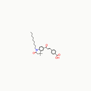 CCCCCCCCCN1C(=O)CC(C)(C)c2cc(C(=O)C=Cc3ccc(C(=O)O)cc3)ccc21